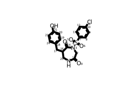 O=C1CN(S(=O)(=O)c2ccc(Cl)cc2)C(=O)C(Cc2ccc(O)cc2)CN1